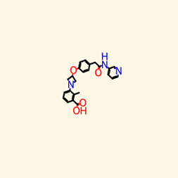 Cc1c(C(=O)O)cccc1N1CC(Oc2ccc(CC(=O)Nc3cccnc3)cc2)C1